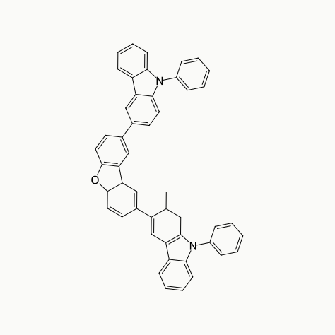 CC1Cc2c(c3ccccc3n2-c2ccccc2)C=C1C1=CC2c3cc(-c4ccc5c(c4)c4ccccc4n5-c4ccccc4)ccc3OC2C=C1